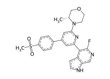 C[C@@H]1COCCN1c1cc(-c2ccc(S(C)(=O)=O)cc2)cc(-c2c(F)ncc3[nH]ccc23)n1